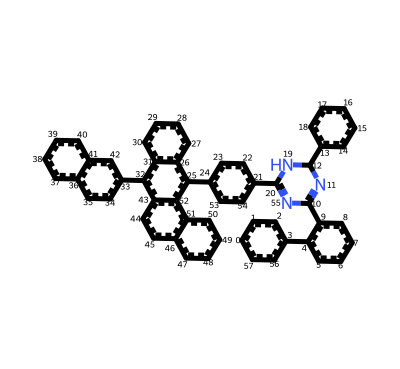 c1ccc(-c2ccccc2C2=NC(c3ccccc3)NC(c3ccc(-c4c5ccccc5c(-c5ccc6ccccc6c5)c5ccc6ccccc6c45)cc3)=N2)cc1